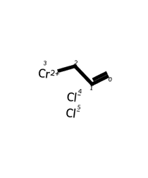 C=C[CH2][Cr+2].[Cl-].[Cl-]